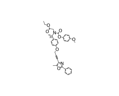 CCOC(=O)CN(C(=O)Oc1ccc(OC)cc1)[C@H](C)c1ccc(OCC#Cc2nc(-c3ccccc3)oc2C)cc1